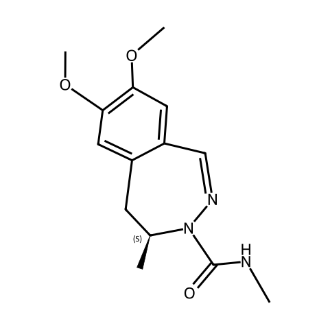 CNC(=O)N1N=Cc2cc(OC)c(OC)cc2C[C@@H]1C